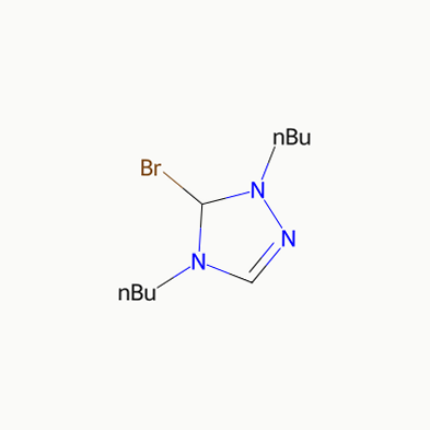 CCCCN1C=NN(CCCC)C1Br